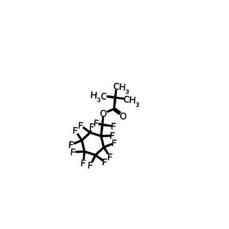 CC(C)(C)C(=O)OC(F)(F)C1(F)C(F)(F)C(F)(F)C(F)(F)C(F)(F)C1(F)F